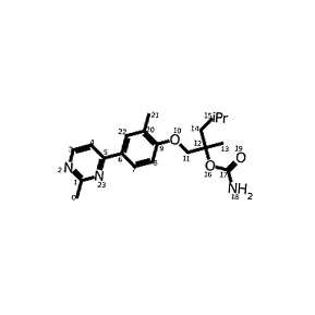 Cc1nccc(-c2ccc(OCC(C)(CC(C)C)OC(N)=O)c(C)c2)n1